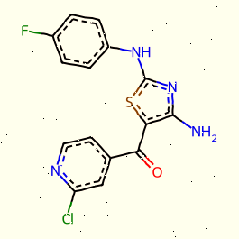 Nc1nc(Nc2ccc(F)cc2)sc1C(=O)c1ccnc(Cl)c1